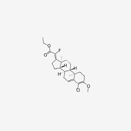 CCOC(=O)C(F)=C1CC[C@H]2[C@@H]3CC=C4C(Cl)=C(OC)CC[C@]4(C)[C@H]3CC[C@]12C